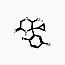 Fc1ccc(Br)cc1C1(C2CC2)NC(=S)COC1C(F)(F)F